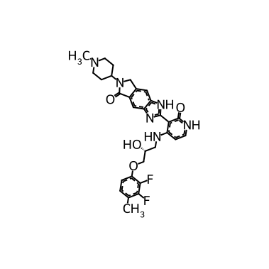 Cc1ccc(OC[C@H](O)CNc2cc[nH]c(=O)c2-c2nc3cc4c(cc3[nH]2)CN(C2CCN(C)CC2)C4=O)c(F)c1F